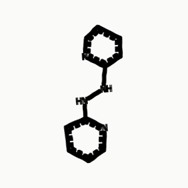 c1ccc(NNc2ccccn2)nc1